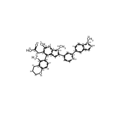 Cc1nc2c(cc(-c3ccnc(-c4ccc5c(cnn5C)c4)c3)n2C)c(-c2ccc3c(c2C)CCCO3)c1CC(=O)O